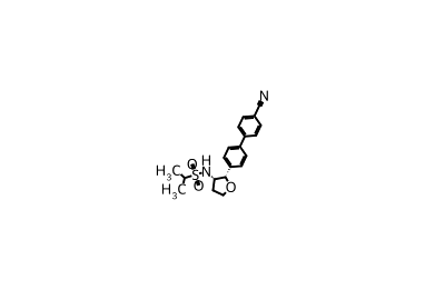 CC(C)S(=O)(=O)N[C@H]1CCO[C@H]1c1ccc(-c2ccc(C#N)cc2)cc1